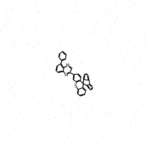 c1ccc(-c2cccc3nc(-c4ccc5c(c4)Sc4ccccc4C54c5ccccc5-c5ccccc54)cnc23)cc1